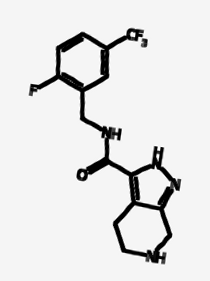 O=C(NCc1cc(C(F)(F)F)ccc1F)c1[nH]nc2c1CCNC2